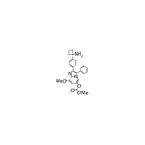 COC(=O)Oc1cc(OC)c2nc(-c3ccc(C4(N)CCC4)cc3)c(-c3ccccc3)n2c1